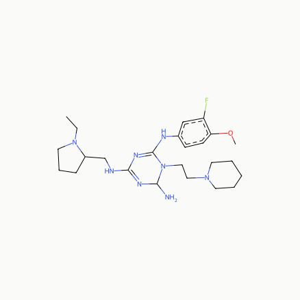 CCN1CCCC1CNC1=NC(N)N(CCN2CCCCC2)C(Nc2ccc(OC)c(F)c2)=N1